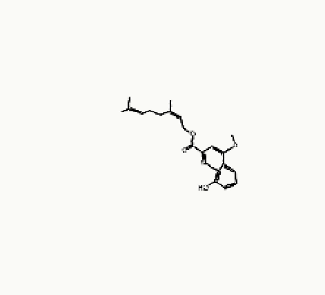 COc1cc(C(=O)OCC=C(C)CCC=C(C)C)nc2c(O)cccc12